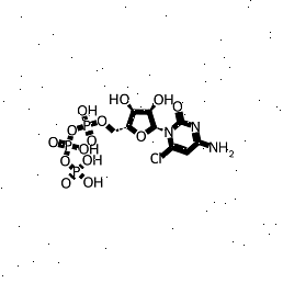 Nc1cc(Cl)n([C@@H]2O[C@H](COP(=O)(O)OP(=O)(O)OP(=O)(O)O)[C@@H](O)[C@H]2O)c(=O)n1